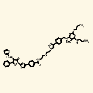 CCCSc1nc(NCCN)c2nnn(Cc3ccc(-c4cn(CCOCCNC(=O)c5ccc(-c6csc(N7N=C(c8ccccc8)/C(=N\Nc8nccs8)C7=O)n6)cc5)nn4)cc3)c2n1